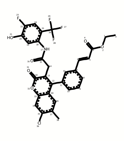 CCOC(=O)/C=C/c1cccc(-c2c(CC(=O)Nc3cc(O)c(F)cc3C(F)(F)F)c(=O)oc3cc(Cl)c(C)cc23)c1